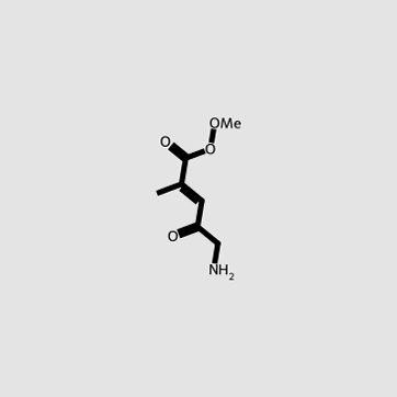 COOC(=O)C(C)=CC(=O)CN